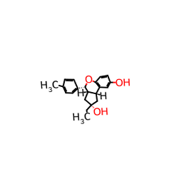 CC[C@@]1(O)C[C@H]2[C@@H](C1)c1cc(O)ccc1O[C@H]2c1ccc(C)cc1